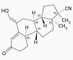 C[C@]1(C#N)CC[C@H]2[C@@H]3CC(=CO)C4=CC(=O)CC[C@@H]4[C@H]3CC[C@@]21C